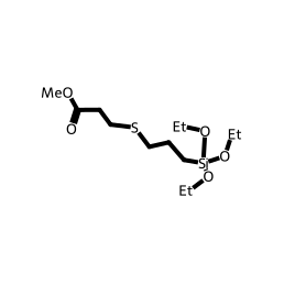 CCO[Si](CCCSCCC(=O)OC)(OCC)OCC